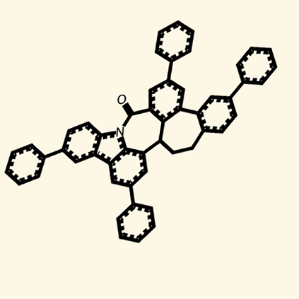 O=C1c2cc(-c3ccccc3)cc3c2C(CCc2ccc(-c4ccccc4)cc2-3)c2cc(-c3ccccc3)cc3c4cc(-c5ccccc5)ccc4n1c23